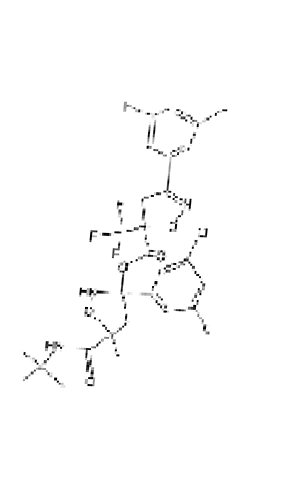 CC(C)(C)NC(=O)C1(C)CC(OC(=O)C2(C(F)(F)F)CC(c3cc(F)cc(F)c3)=NO2)(c2cc(Cl)cc(Cl)c2)NO1